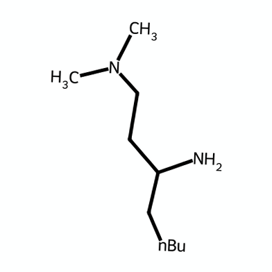 CCCCCC(N)CCN(C)C